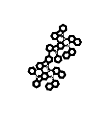 c1ccc(-n2c3ccccc3c3cc4c5c(c32)-c2cccc3c6cc(-c7cccc8c9c%10c%11c(cc9n(-c9ccccc9)c78)N(c7cccc8ccccc78)c7c(ccc8ccccc78)B%11n7c8ccccc8c8cccc-%10c87)ccc6n(c23)B5c2ccc3ccccc3c2N4c2cccc3ccccc23)cc1